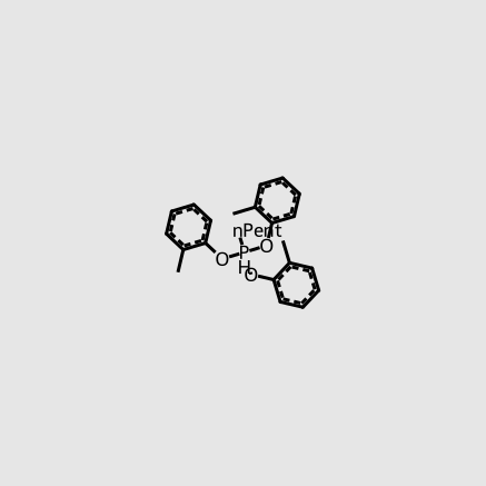 CCCCC[PH](Oc1ccccc1C)(Oc1ccccc1C)Oc1ccccc1C